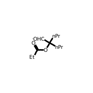 CCCC([C]=O)(CCC)OC(=O)CC